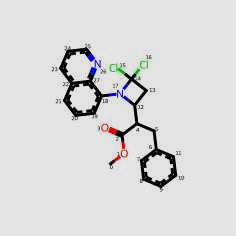 COC(=O)C(Cc1ccccc1)C1CC(Cl)(Cl)N1c1cccc2cccnc12